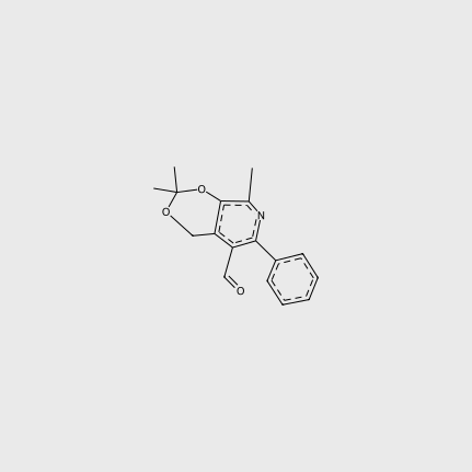 Cc1nc(-c2ccccc2)c(C=O)c2c1OC(C)(C)OC2